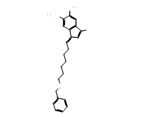 COc1cc2c(cc1OC)/C(=C/CCCCCCOCc1ccccc1)C=C2C(F)(F)F